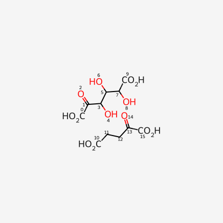 O=C(O)C(=O)C(O)C(O)C(O)C(=O)O.O=C(O)CCC(=O)C(=O)O